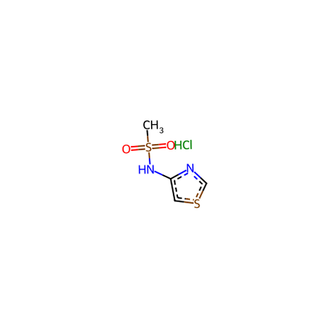 CS(=O)(=O)Nc1cscn1.Cl